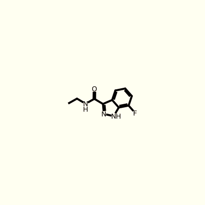 CCNC(=O)c1n[nH]c2c(F)cccc12